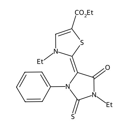 CCOC(=O)C1=CN(CC)/C(=C2/C(=O)N(CC)C(=S)N2c2ccccc2)S1